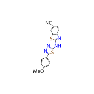 COc1ccc(-c2nnc(Nc3nc4ccc(C#N)cc4s3)s2)cc1